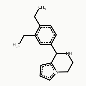 CCc1ccc(C2NCCn3cccc32)cc1CC